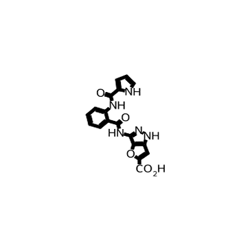 O=C(Nc1ccccc1C(=O)Nc1n[nH]c2cc(C(=O)O)oc12)c1ccc[nH]1